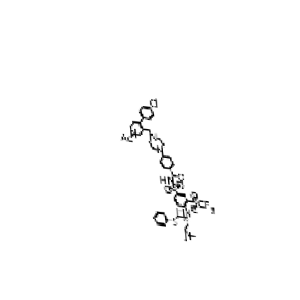 CC(=O)N1CCC(c2ccc(Cl)cc2)=C(CN2CCN(c3ccc(C(=O)NS(=O)(=O)c4ccc(N[C@H](CCN(C)C)CSc5ccccc5)c(S(=O)(=O)C(F)(F)F)c4)cc3)CC2)C1